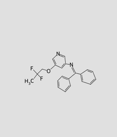 CC(F)(F)COc1cncc(N=C(c2ccccc2)c2ccccc2)c1